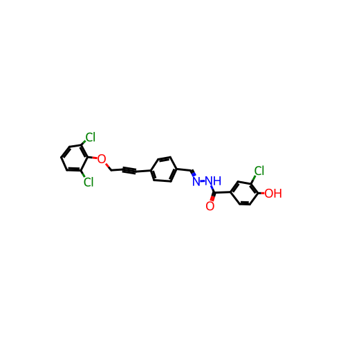 O=C(N/N=C/c1ccc(C#CCOc2c(Cl)cccc2Cl)cc1)c1ccc(O)c(Cl)c1